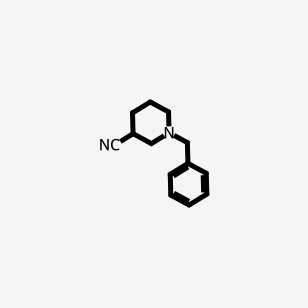 N#CC1CCCN(Cc2ccccc2)C1